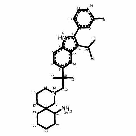 Cc1cc(-c2[nH]c3ccc(C(C)(C)CN4CCCC5(CCCCC5N)C4)cc3c2C(C)C)ccn1